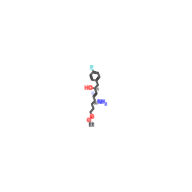 CCOOCCC[C@@H](N)/C=C/[C@@H](O)Cc1ccc(F)cc1